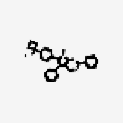 Cn1c(-c2ccc(C3(N)CCC3)cc2)c(-c2ccccc2)c2cnc(-c3ccccc3)nc21